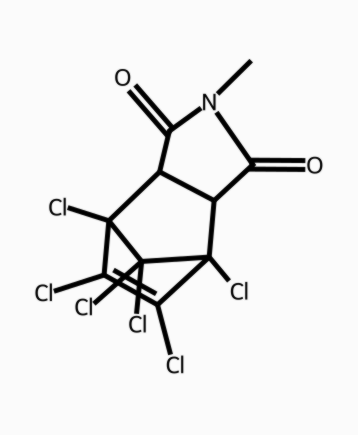 CN1C(=O)C2C(C1=O)C1(Cl)C(Cl)=C(Cl)C2(Cl)C1(Cl)Cl